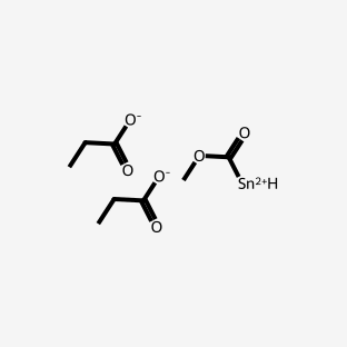 CCC(=O)[O-].CCC(=O)[O-].CO[C](=O)[SnH+2]